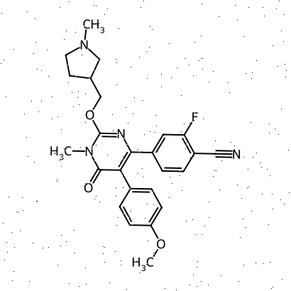 COc1ccc(-c2c(-c3ccc(C#N)c(F)c3)nc(OCC3CCN(C)C3)n(C)c2=O)cc1